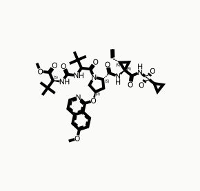 C=C[C@@H]1C[C@]1(NC(=O)[C@@H]1C[C@@H](Oc2nccc3cc(OC)ccc23)CN1C(=O)C(NC(=O)N[C@H](C(=O)OC)C(C)(C)C)C(C)(C)C)C(=O)NS(=O)(=O)C1CC1